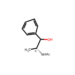 CC(=O)N[C@H](C)C(O)c1ccccc1